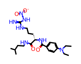 CCN(CC)c1ccc(C(=O)N[C@@H](CCCNC(=N)N[N+](=O)[O-])C(=O)NCCC(C)C)cc1